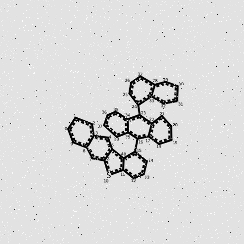 c1ccc2cc3c(cc2c1)sc1cccc(-c2c4ccccc4c(-c4cccc5ccccc45)c4ccccc24)c13